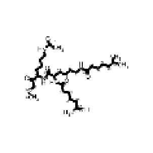 CSCC(=O)C(CCCCNC(C)C)NC(=O)C(CCCCNC(=O)CCCCC(C)C)NC(=O)CCCCC(C)C